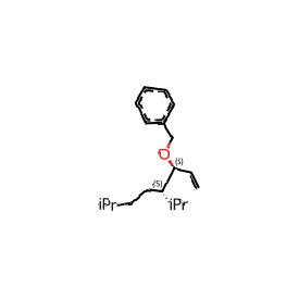 C=C[C@H](OCc1ccccc1)[C@@H](CCC(C)C)C(C)C